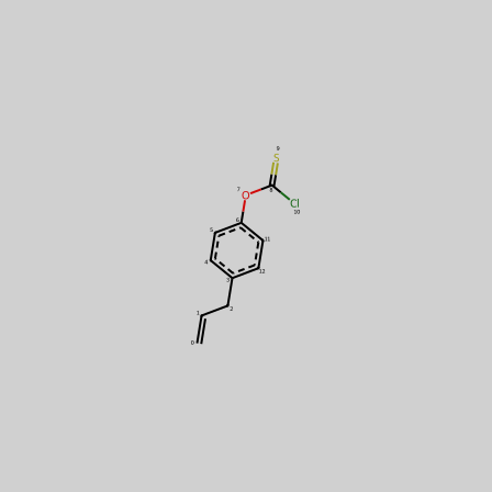 C=CCc1ccc(OC(=S)Cl)cc1